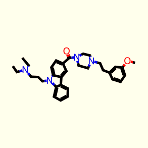 CCN(CC)CCCn1c2ccccc2c2cc(C(=O)N3CCN(CCc4cccc(OC)c4)CC3)ccc21